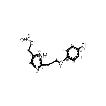 O=COCc1cnc(CCOc2ccc(Cl)cc2)[nH]1